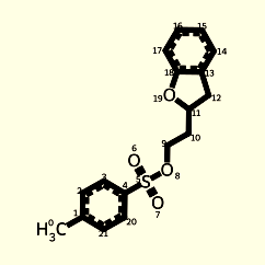 Cc1ccc(S(=O)(=O)OCCC2Cc3ccccc3O2)cc1